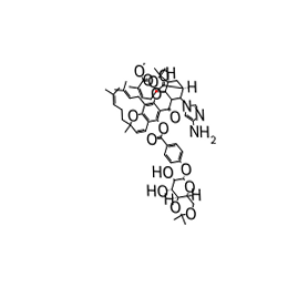 COC(=O)/C(C)=C\CC12OC(C)(C)[C@H]3C[C@H](C1=O)C(n1cnc(N)c1)C1C(=O)c4c(OC(=O)c5ccc(O[C@@H]6O[C@@H]7COC(C)(C)O[C@H]7[C@H](O)[C@H]6O)cc5)c5c(c(CC=C(C)C)c4OC132)OC(C)(CCC=C(C)C)C=C5